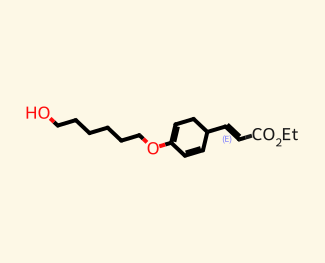 CCOC(=O)/C=C/C1C=CC(OCCCCCCO)=CC1